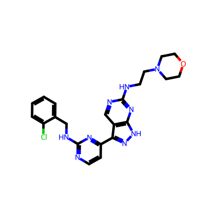 Clc1ccccc1CNc1nccc(-c2n[nH]c3nc(NCCN4CCOCC4)ncc23)n1